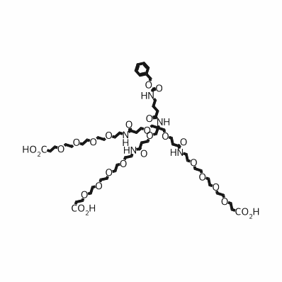 O=C(O)CCOCCOCCOCCOCCNC(=O)CCOCC(COCCC(=O)NCCOCCOCCOCCOCCC(=O)O)(COCCC(=O)NCCOCCOCCOCCOCCC(=O)O)NC(=O)CCCNC(=O)OCc1ccccc1